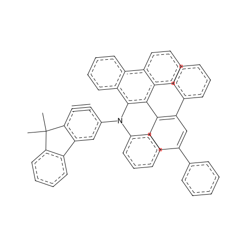 CC1(C)c2c#cc(N(c3ccccc3)c3c(C4=C(c5ccccc5)C=C(c5ccccc5)CC4)c4ccccc4c4ccccc34)cc2-c2ccccc21